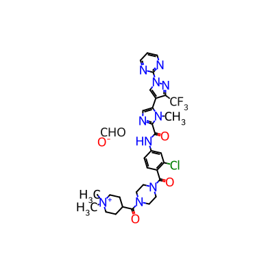 Cn1c(-c2cn(-c3ncccn3)nc2C(F)(F)F)cnc1C(=O)Nc1ccc(C(=O)N2CCN(C(=O)C3CC[N+](C)(C)CC3)CC2)c(Cl)c1.O=C[O-]